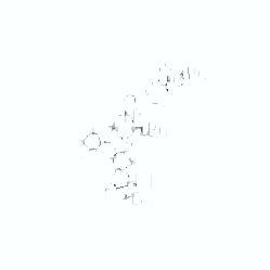 CC(C)(C)OC(=O)N1CCC(CC(=O)N2CCN(C(c3ccccc3)c3ccc(NC(=O)C(C)(C)C)cc3)C[C@@H]2C(C)(C)C)CC1